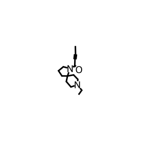 CC#CC(=O)N1CCCC12CCN(CC)CC2